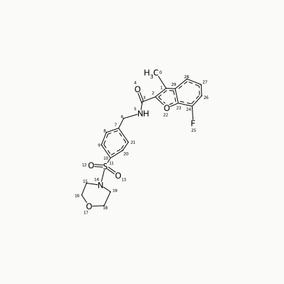 Cc1c(C(=O)NCc2ccc(S(=O)(=O)N3CCOCC3)cc2)oc2c(F)cccc12